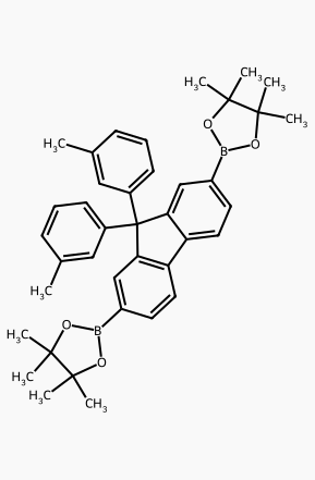 Cc1cccc(C2(c3cccc(C)c3)c3cc(B4OC(C)(C)C(C)(C)O4)ccc3-c3ccc(B4OC(C)(C)C(C)(C)O4)cc32)c1